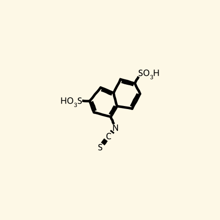 O=S(=O)(O)c1ccc2c(N=C=S)cc(S(=O)(=O)O)cc2c1